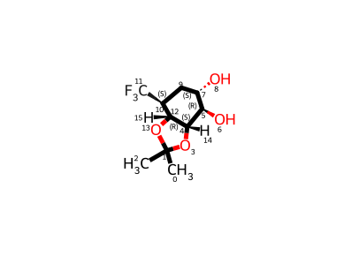 CC1(C)O[C@H]2[C@H](O)[C@@H](O)C[C@H](C(F)(F)F)[C@H]2O1